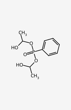 CC(O)OP(=O)(OC(C)O)c1ccccc1